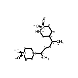 CC(CCC(C)N1CCS(=O)(=O)CC1)C1CCS(=O)(=O)NC1